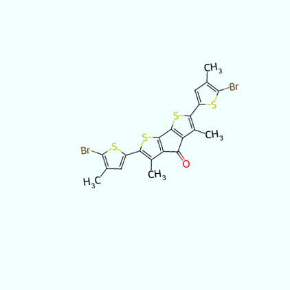 Cc1cc(-c2sc3c(c2C)C(=O)c2c-3sc(-c3cc(C)c(Br)s3)c2C)sc1Br